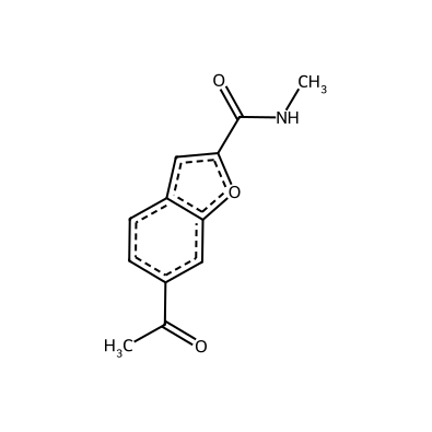 CNC(=O)c1cc2ccc(C(C)=O)cc2o1